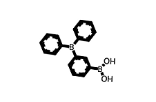 OB(O)c1cccc(B(c2ccccc2)c2ccccc2)c1